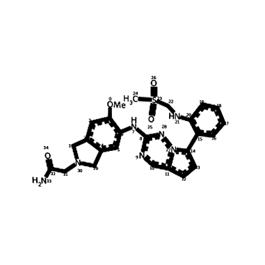 COc1cc2c(cc1Nc1ncc3ccc(-c4ccccc4NCS(C)(=O)=O)n3n1)CN(CC(N)=O)C2